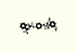 CNc1nc(NC[C@H]2CC[C@H](CNS(=O)(=O)c3cc(OC)ccc3OC)CC2)nc2ccccc12